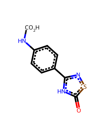 O=C(O)Nc1ccc(-c2nsc(=O)[nH]2)cc1